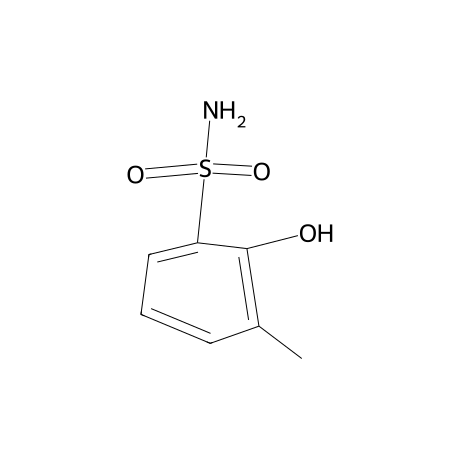 Cc1cccc(S(N)(=O)=O)c1O